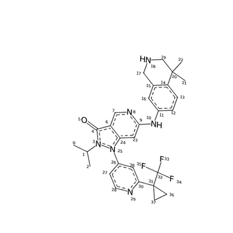 CC(C)n1c(=O)c2cnc(Nc3ccc4c(c3)CNCC4(C)C)cc2n1-c1ccnc(C2(C(F)(F)F)CC2)c1